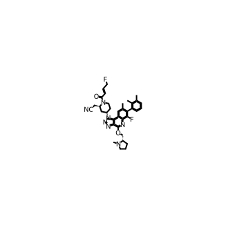 Cc1cccc(-c2c(C)cc3c(nc(OC[C@@H]4CCCN4C)c4nnn([C@H]5CCN(C(=O)/C=C/CF)[C@H](CC#N)C5)c43)c2F)c1C